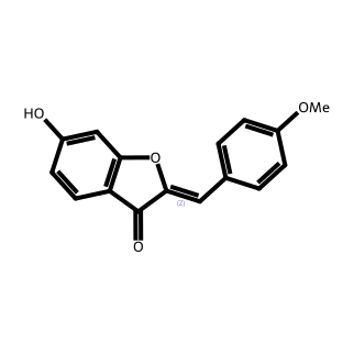 COc1ccc(/C=C2\Oc3cc(O)ccc3C2=O)cc1